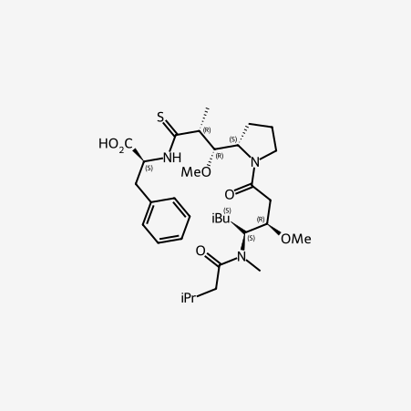 CC[C@H](C)[C@@H]([C@@H](CC(=O)N1CCC[C@H]1[C@H](OC)[C@@H](C)C(=S)N[C@@H](Cc1ccccc1)C(=O)O)OC)N(C)C(=O)CC(C)C